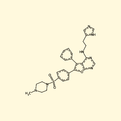 CN1CCN(S(=O)(=O)c2ccc(-c3oc4ncnc(NCCc5cnc[nH]5)c4c3-c3ccccc3)cc2)CC1